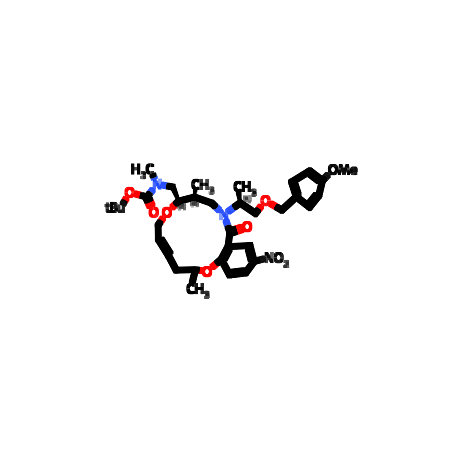 COc1ccc(COC[C@H](C)N2C[C@@H](C)[C@H](CN(C)C(=O)OC(C)(C)C)OCC=CCC(C)Oc3ccc([N+](=O)[O-])cc3C2=O)cc1